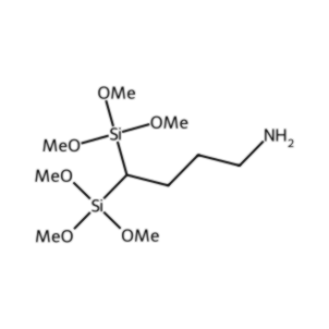 CO[Si](OC)(OC)C(CCCN)[Si](OC)(OC)OC